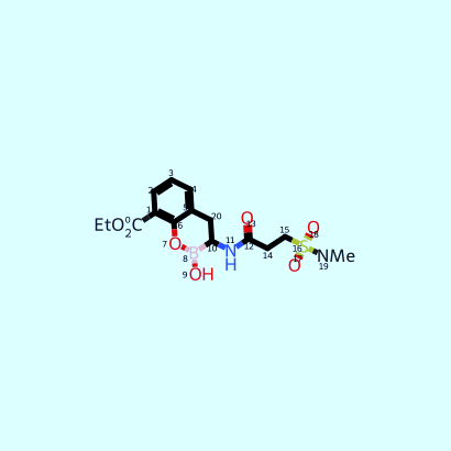 CCOC(=O)c1cccc2c1OB(O)C(NC(=O)CCS(=O)(=O)NC)C2